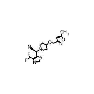 Cc1cc(COC2CCN(C(C#N)c3scnc3C(F)F)CC2)no1